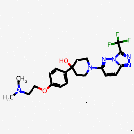 CN(C)CCOc1ccc(C2(O)CCN(c3ccc4nnc(C(F)(F)F)n4n3)CC2)cc1